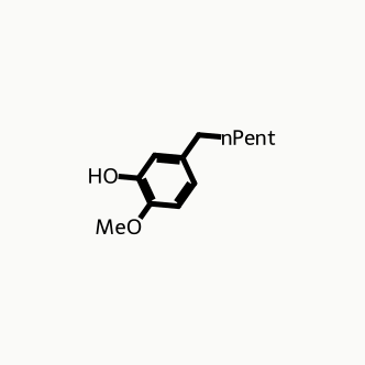 CCCCCCc1ccc(OC)c(O)c1